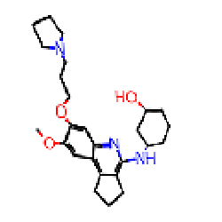 COc1cc2c3c(c(N[C@H]4CCC[C@H](O)C4)nc2cc1OCCCN1CCCC1)CCC3